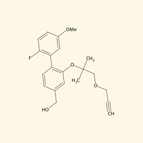 C#CCOCC(C)(C)Oc1cc(CO)ccc1-c1cc(OC)ccc1F